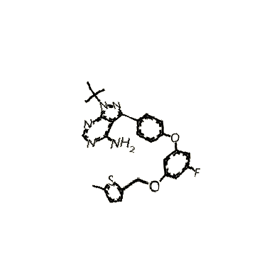 Cc1ccc(COc2cc(F)cc(Oc3ccc(-c4nn(C(C)(C)C)c5ncnc(N)c45)cc3)c2)s1